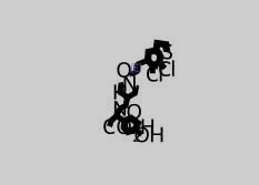 O=C(O)CC(NC(=O)C1CCN(C(=O)/C=C/c2cc3ccsc3c(Cl)c2Cl)CC1)c1ccc(O)cc1